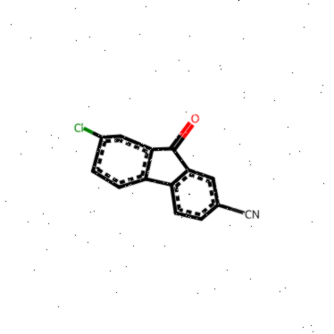 N#Cc1ccc2c(c1)C(=O)c1cc(Cl)ccc1-2